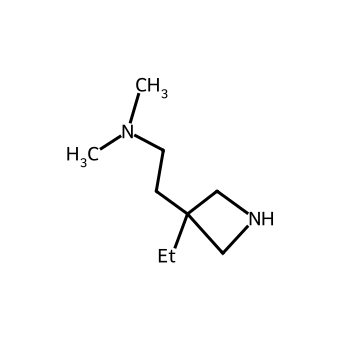 CCC1(CCN(C)C)CNC1